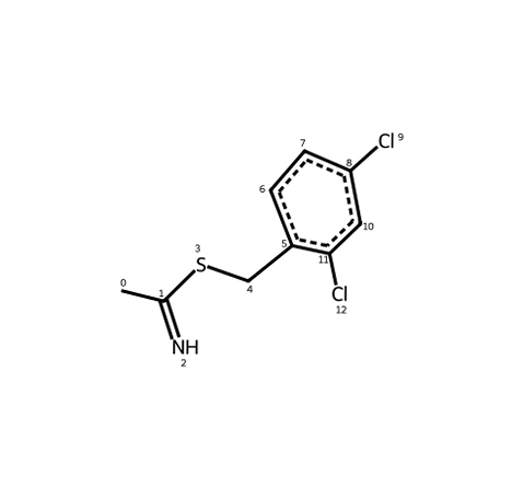 CC(=N)SCc1ccc(Cl)cc1Cl